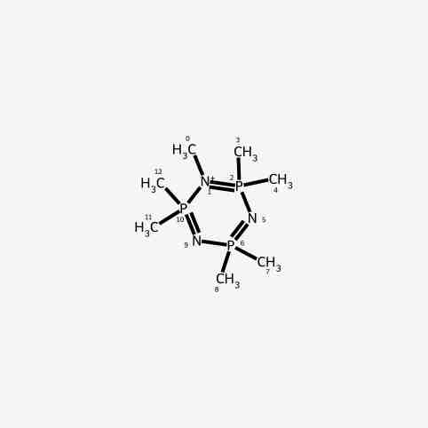 C[N+]1=P(C)(C)N=P(C)(C)N=P1(C)C